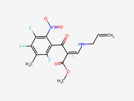 C=CCN/C=C(/C(=O)OC)C(=O)c1c(F)c(C)c(F)c(F)c1[N+](=O)[O-]